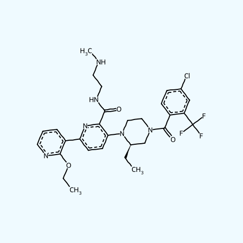 CCOc1ncccc1-c1ccc(N2CCN(C(=O)c3ccc(Cl)cc3C(F)(F)F)C[C@H]2CC)c(C(=O)NCCNC)n1